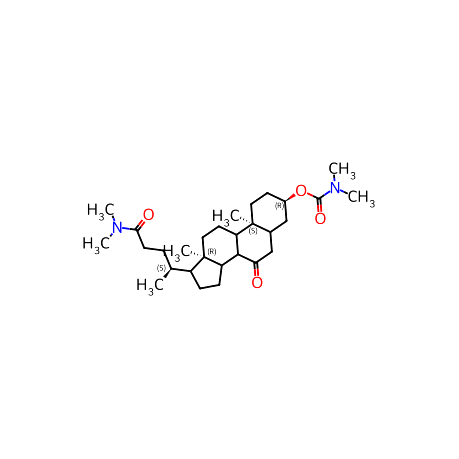 C[C@@H](CCC(=O)N(C)C)C1CCC2C3C(=O)CC4C[C@H](OC(=O)N(C)C)CC[C@]4(C)C3CC[C@@]21C